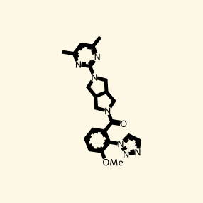 COc1cccc(C(=O)N2CC3CN(c4nc(C)cc(C)n4)CC3C2)c1-n1ccnn1